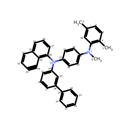 Cc1ccc(C)c(N(C)c2ccc(N(c3cccc(-c4ccccc4)c3)c3cccc4ccc#cc34)cc2)c1